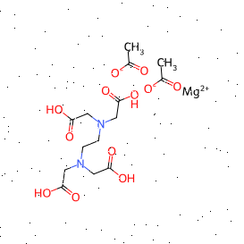 CC(=O)[O-].CC(=O)[O-].O=C(O)CN(CCN(CC(=O)O)CC(=O)O)CC(=O)O.[Mg+2]